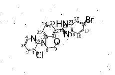 Clc1cccnc1N1CCOc2c(-c3nc4ccc(Br)cc4[nH]3)cccc21